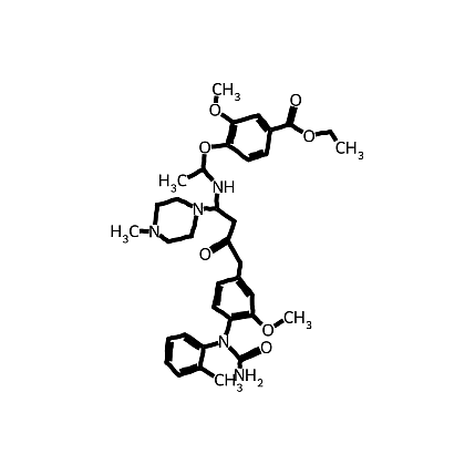 CCOC(=O)c1ccc(OC(C)NC(CC(=O)Cc2ccc(N(C(N)=O)c3ccccc3C)c(OC)c2)N2CCN(C)CC2)c(OC)c1